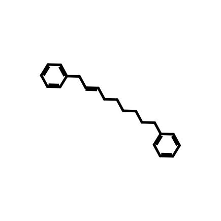 C(=CCc1ccccc1)CCCCCCc1ccccc1